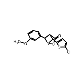 COc1cccc(C2C3C(=O)ON2C3c2ccc(Cl)s2)c1